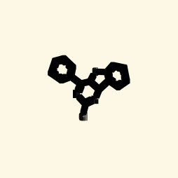 ClC1=NC2c3ccccc3SC2C(c2ccccc2)=N1